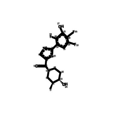 C[C@H]1CN(C(=O)c2cnc(-c3cc(F)c(F)c(O)c3F)s2)CC[C@@H]1O